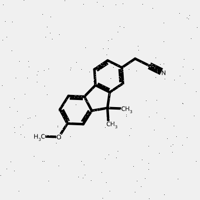 COc1ccc2c(c1)C(C)(C)c1cc(CC#N)ccc1-2